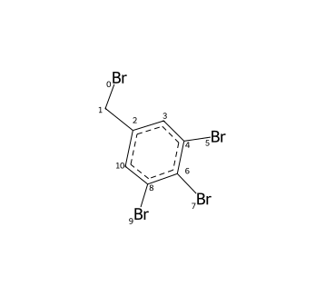 BrCc1cc(Br)c(Br)c(Br)c1